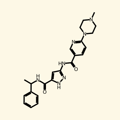 CC(NC(=O)c1cc(NC(=O)c2ccc(N3CCN(C)CC3)nc2)n[nH]1)c1ccccc1